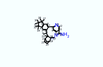 CC1c2cc3c(cc2-c2ccc(cn2)/C(N)=N/C=C2/C4CCC(C4)C21C)C(C)(C)C(C)(C)C3(C)C